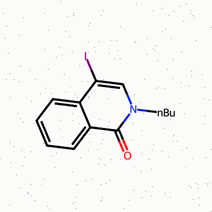 CCCCn1cc(I)c2ccccc2c1=O